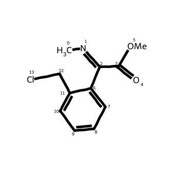 C/N=C(/C(=O)OC)c1ccccc1CCl